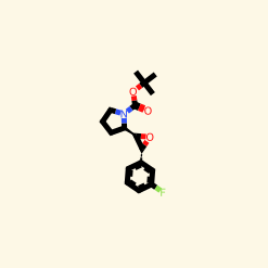 CC(C)(C)OC(=O)N1CCCC1[C@H]1O[C@@H]1c1cccc(F)c1